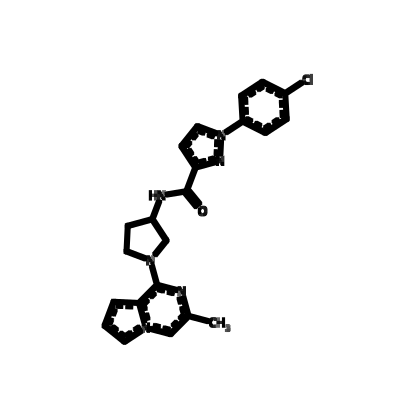 Cc1cn2cccc2c(N2CCC(NC(=O)c3ccn(-c4ccc(Cl)cc4)n3)C2)n1